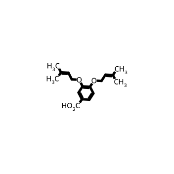 CC(C)=CCOc1ccc(C(=O)O)cc1OCC=C(C)C